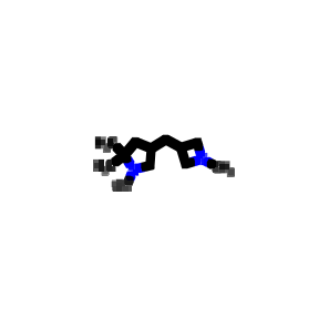 CN1CC(CC2CN(C(C)(C)C)C(C)(C)C2)C1